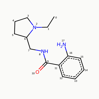 CCN1CCCC1CNC(=O)c1ccccc1N